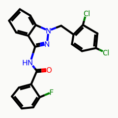 O=C(Nc1nn(Cc2ccc(Cl)cc2Cl)c2ccccc12)c1ccccc1F